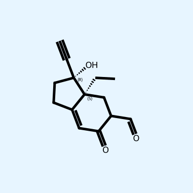 C#C[C@]1(O)CCC2=CC(=O)C(C=O)C[C@@]21CC